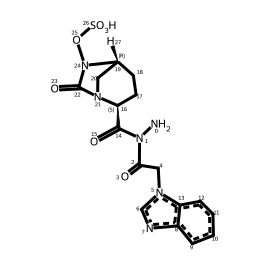 NN(C(=O)Cn1cnc2ccccc21)C(=O)[C@@H]1CC[C@@H]2CN1C(=O)N2OS(=O)(=O)O